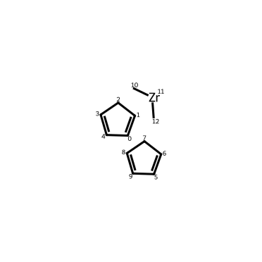 C1=CCC=C1.C1=CCC=C1.[CH3][Zr][CH3]